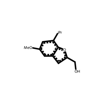 COc1cc(C(C)C)c2oc(CO)cc2c1